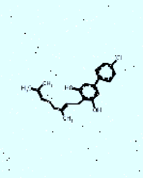 CC(C)=CCC/C(C)=C/Cc1c(O)cc(-c2ccc(Cl)cc2)cc1O